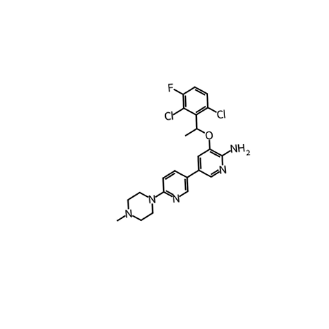 CC(Oc1cc(-c2ccc(N3CCN(C)CC3)nc2)cnc1N)c1c(Cl)ccc(F)c1Cl